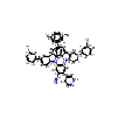 Cc1cccc(-c2ccc3c(c2)c2cc(-c4cccc(C)c4)ccc2n3-c2cc(C#N)c(-c3ccncc3)cc2-n2c3ccc(-c4cccc(C)c4)cc3c3cc(-c4cccc(C)c4)ccc32)c1